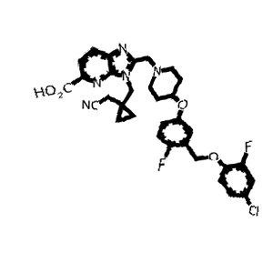 N#CCC1(Cn2c(CN3CCC(Oc4ccc(F)c(COc5ccc(Cl)cc5F)c4)CC3)nc3ccc(C(=O)O)nc32)CC1